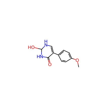 COc1ccc(C2=CNC(O)NC2=O)cc1